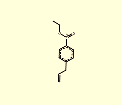 C=CCc1ccc([PH](=O)OCC)cc1